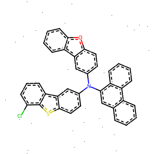 Clc1cccc2c1sc1ccc(N(c3ccc4oc5ccccc5c4c3)c3cc4ccccc4c4ccccc34)cc12